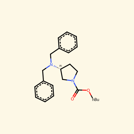 CCCCOC(=O)N1CC[C@@H](N(Cc2ccccc2)Cc2ccccc2)C1